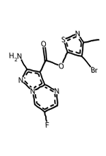 Cc1nsc(OC(=O)c2c(N)nn3cc(F)cnc23)c1Br